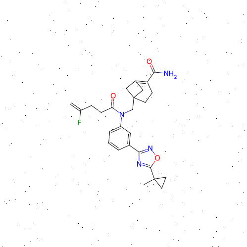 C=C(F)CCC(=O)N(CC12CCC(C(N)=O)=C(C1)C2)c1cccc(-c2noc(C3(C)CC3)n2)c1